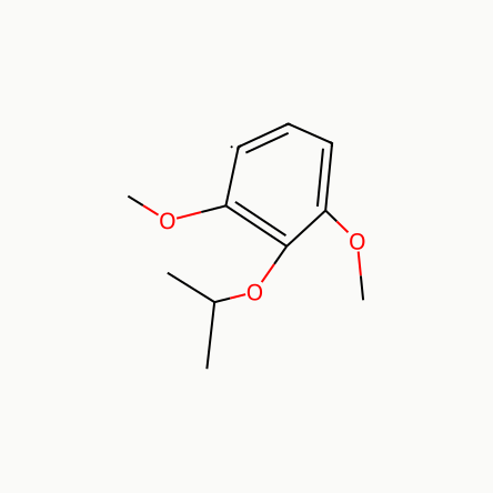 COc1[c]ccc(OC)c1OC(C)C